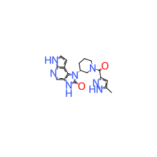 Cc1cc(C(=O)N2CCC[C@@H](n3c(=O)[nH]c4cnc5[nH]ccc5c43)C2)n[nH]1